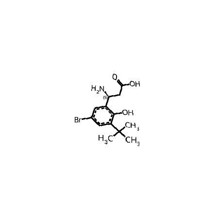 CC(C)(C)c1cc(Br)cc([C@@H](N)CC(=O)O)c1O